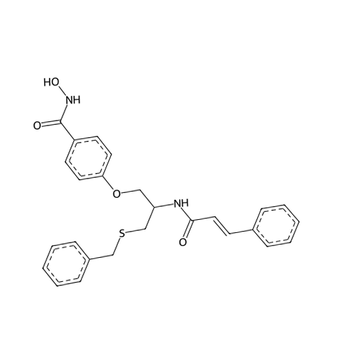 O=C(/C=C/c1ccccc1)NC(COc1ccc(C(=O)NO)cc1)CSCc1ccccc1